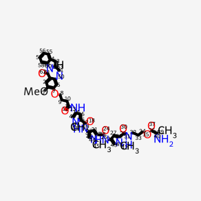 COc1cc2c(cc1OCCCC(=O)Nc1cc(C(=O)Nc3cc(C(=O)Nc4cc(C(=O)NCCCOC(=O)[C@@H](C)N)n(C)c4)n(C)c3)n(C)c1)N=C[C@@H]1Cc3ccccc3N1C2=O